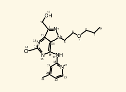 CCCOCCn1nc(CO)c2nc(Cl)nc(Nc3cc(C)ccn3)c21